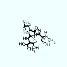 CN[C@@H](CO)c1noc([C@H](CC(N)=O)NC(=O)NC(C(=O)O)C(C)O)n1